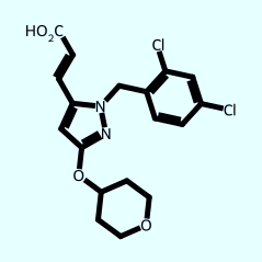 O=C(O)C=Cc1cc(OC2CCOCC2)nn1Cc1ccc(Cl)cc1Cl